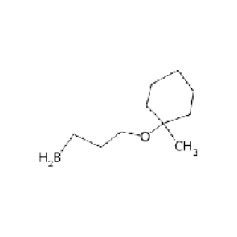 BCCCOC1(C)CCCCC1